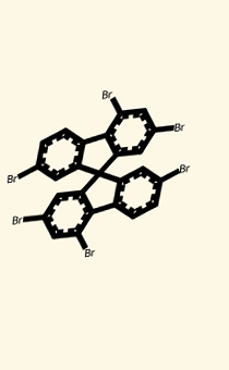 Brc1ccc2c(c1)C1(c3cc(Br)ccc3-c3c(Br)cc(Br)cc31)c1cc(Br)cc(Br)c1-2